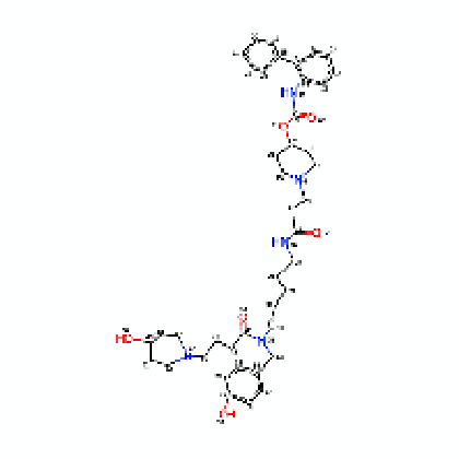 O=C(CCN1CCC(OC(=O)Nc2ccccc2-c2ccccc2)CC1)NCCCCCN(Cc1ccc(O)cc1)C(=O)CCCN1CCC(O)CC1